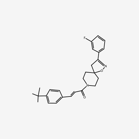 CC(C)(C)c1ccc(C=CC(=O)N2CCC3(CC2)CC(c2cccc(F)c2)=NO3)cc1